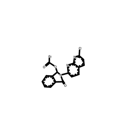 CCC(=O)OC1c2ccccc2C(=O)N1c1ccc2ccc(Cl)nc2n1